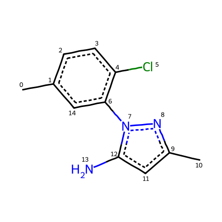 Cc1ccc(Cl)c(-n2nc(C)cc2N)c1